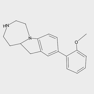 COc1ccccc1-c1ccc2c(c1)CC1CCNCCN21